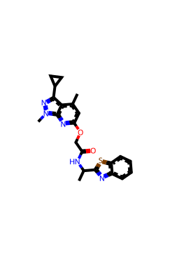 Cc1cc(OCC(=O)NC(C)c2nc3ccccc3s2)nc2c1c(C1CC1)nn2C